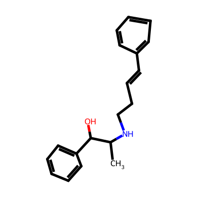 CC(NCC/C=C/c1ccccc1)C(O)c1ccccc1